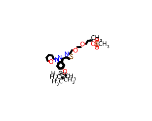 C[C@H](CCOCCOCc1nc(-c2nn(C3CCCCO3)c3ccc(O[Si](C)(C)C(C)(C)C)cc23)cs1)OS(C)(=O)=O